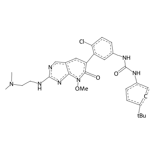 COn1c(=O)c(-c2cc(NC(=O)Nc3ccc(C(C)(C)C)cc3)ccc2Cl)cc2cnc(NCCN(C)C)nc21